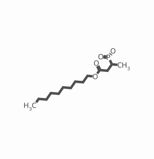 CCCCCCCCCCOC(=O)CC(C)P(=O)=O